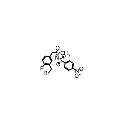 CS(=O)(Cc1ccc(F)c(CBr)c1)=NS(=O)(=O)c1ccc([N+](=O)[O-])cc1